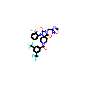 Cc1ccccc1N1C(=O)N(Cc2ncon2)C(=O)C12CCN(C(=O)c1cc(C(F)(F)F)cc(C(F)(F)F)c1)CC2